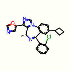 C[C@H]1N=C(c2ccccc2Cl)c2cc(C3CCC3)ccc2-n2cnc(-c3cnco3)c21